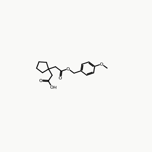 COc1ccc(COC(=O)CC2(CC(=O)O)CCCC2)cc1